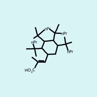 CCCC(C)(C)C1CC(C=C(C)C(=O)O)C(C(C)(C)CCC)C(C(C)(C)CCC)C1C(C)(C)CCC